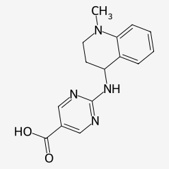 CN1CCC(Nc2ncc(C(=O)O)cn2)c2ccccc21